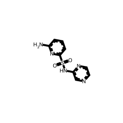 Nc1cccc(S(=O)(=O)Nc2cnccn2)n1